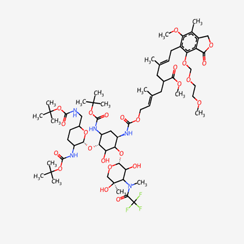 COCCOCOc1c(C/C=C(\C)CC(C/C(C)=C/COC(=O)N[C@@H]2CC(NC(=O)OC(C)(C)C)[C@@H](O[C@H]3OC(CNC(=O)OC(C)(C)C)CCC3NC(=O)OC(C)(C)C)C(O)C2O[C@H]2OC[C@](C)(O)C(N(C)C(=O)C(F)(F)F)C2O)C(=O)OC)c(OC)c(C)c2c1C(=O)OC2